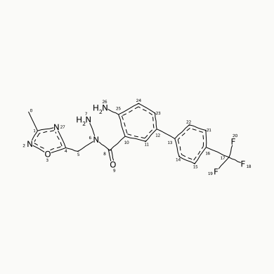 Cc1noc(CN(N)C(=O)c2cc(-c3ccc(C(F)(F)F)cc3)ccc2N)n1